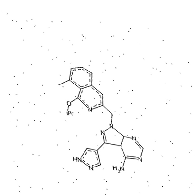 Cc1cccc2cc(CN3N=C(c4cn[nH]c4)C4C(N)=NC=NC43)nc(OC(C)C)c12